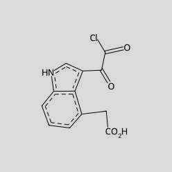 O=C(O)Cc1cccc2[nH]cc(C(=O)C(=O)Cl)c12